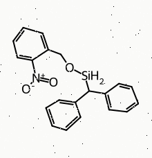 O=[N+]([O-])c1ccccc1CO[SiH2]C(c1ccccc1)c1ccccc1